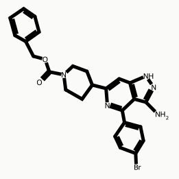 Nc1n[nH]c2cc(C3CCN(C(=O)OCc4ccccc4)CC3)nc(-c3ccc(Br)cc3)c12